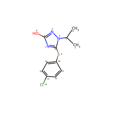 CC(C)n1nc(O)nc1Sc1ccc(Cl)cc1